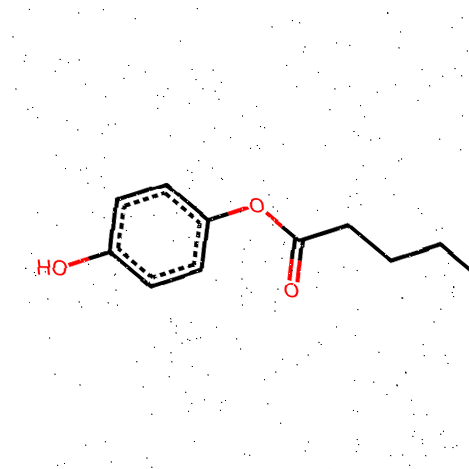 CCCCC(=O)Oc1ccc(O)cc1